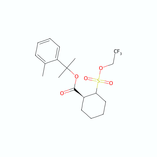 Cc1ccccc1C(C)(C)OC(=O)[C@@H]1CCCCC1S(=O)(=O)OCC(F)(F)F